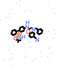 CC(C)(C)NS(=O)(=O)c1ccccc1-c1ccc(NC(=O)CN(Cc2ccccc2)c2cccc(C#N)c2)cc1